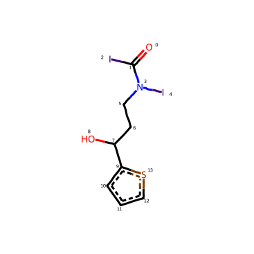 O=C(I)N(I)CCC(O)c1cccs1